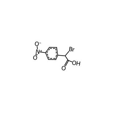 O=C(O)C(Br)c1ccc([N+](=O)[O-])cc1